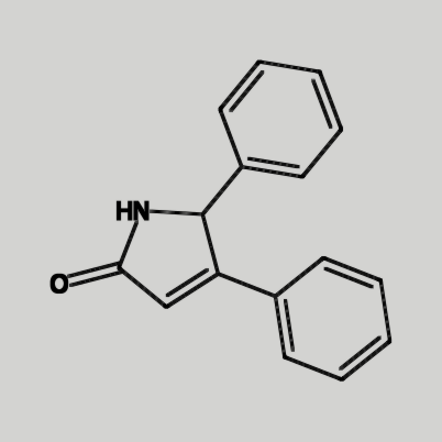 O=C1C=C(c2ccccc2)C(c2ccccc2)N1